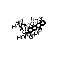 COc1cccc2c1C(=O)c1c(O)c3c(c(O)c1C2=O)C[C@@](O)(C(=O)CO)C[C@@H]3OC1CC(NI)C(O)C(C)O1.Cl